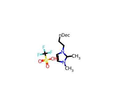 CCCCCCCCCCCCN1C=CN(C)C1C.O=S(=O)(O)C(F)(F)F